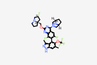 Cc1cc2[nH]nc(C)c2c(-c2c(F)cc3c(N4C[C@H]5CC[C@@H](C4)N5)nc(OC[C@@]45CCCN4C[C@H](F)C5)nc3c2F)c1OC(F)(F)F